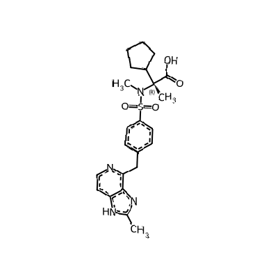 Cc1nc2c(Cc3ccc(S(=O)(=O)N(C)[C@@](C)(C(=O)O)C4CCCC4)cc3)nccc2[nH]1